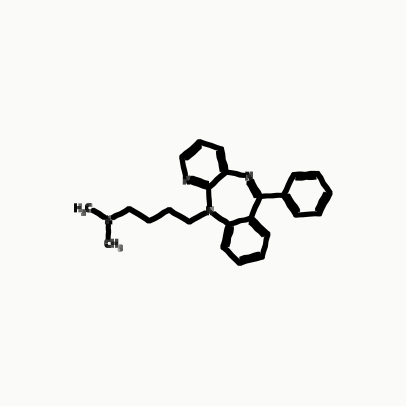 CN(C)CCCCN1c2ccccc2C(c2ccccc2)=Nc2cccnc21